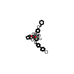 CC(C)(C)OC(=O)NC1C2CCC1CN(C(=O)[C@H]1C[C@H](Oc3ccc(-c4ccc(Cl)cc4)cc3)CCN1S(=O)(=O)c1ccc(OCC3CCCCC3)cc1)C2